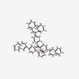 c1ccc(-c2ccc(-c3ccc4ccccc4c3)cc2N(c2ccc(-c3ccc4ccccc4c3)cc2)c2ccc(-c3cc4ccccc4c4ccccc34)cc2)cc1